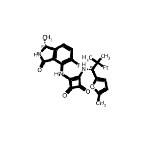 CCC(C)(C)[C@@H](Nc1c(Nc2c(F)ccc3c2C(=O)N[C@@H]3C)c(=O)c1=O)c1ccc(C)o1